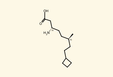 C[C@@H](CCC1CCC1)CC[C@H](N)CC(=O)O